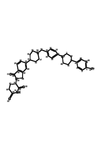 CC(C)c1ccc(C2CCN(c3ccc(CN4CCC(c5ccc6c(c5)CN(C5CCC(=O)NC5=O)C6=O)CC4)cc3)CC2)cn1